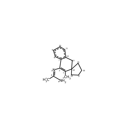 CC1=C(/N=C(/C)N)c2ccccc2CC12CCCC2